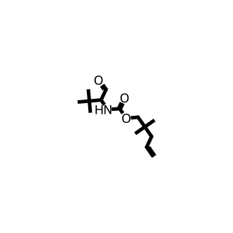 C=CCC(C)(C)COC(=O)NC(C=O)C(C)(C)C